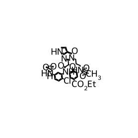 CCOC(=O)c1ccc(OC(C(=O)Nc2cc(N[SH](=O)=O)ccc2Cl)c2nc3[nH]ccc3c(=O)n2CCCNS(C)(=O)=O)cc1